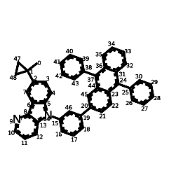 CC1(c2ccc3c(c2)c2ncccc2n3-c2cccc(-c3ccc4c(-c5ccccc5)c5ccccc5c(-c5ccccc5)c4c3)c2)CC1